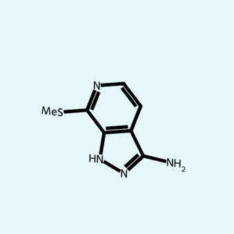 CSc1nccc2c(N)n[nH]c12